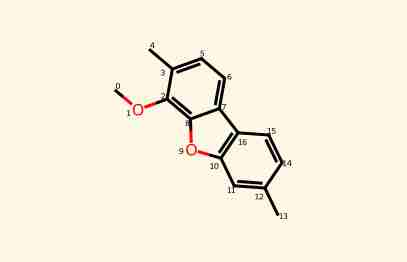 COc1c(C)ccc2c1oc1cc(C)ccc12